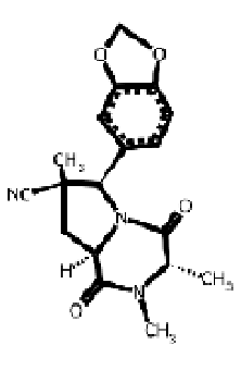 C[C@H]1C(=O)N2[C@H](C[C@@](C)(C#N)[C@H]2c2ccc3c(c2)OCO3)C(=O)N1C